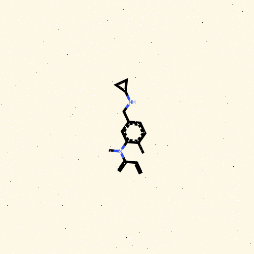 C=CC(=C)N(C)c1cc(CNC2CC2)ccc1C